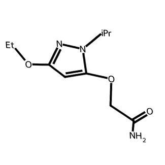 CCOc1cc(OCC(N)=O)n(C(C)C)n1